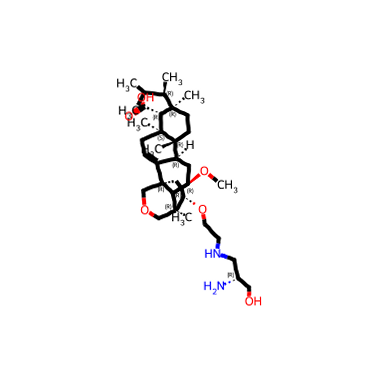 CO[C@@H]1C[C@@]23COC[C@@](C)(C2CC[C@H]2C3=CC[C@@]3(C)[C@H](C(=O)O)[C@@](C)([C@H](C)C(C)C)CC[C@]23C)[C@H]1OCCNC[C@@H](N)CO